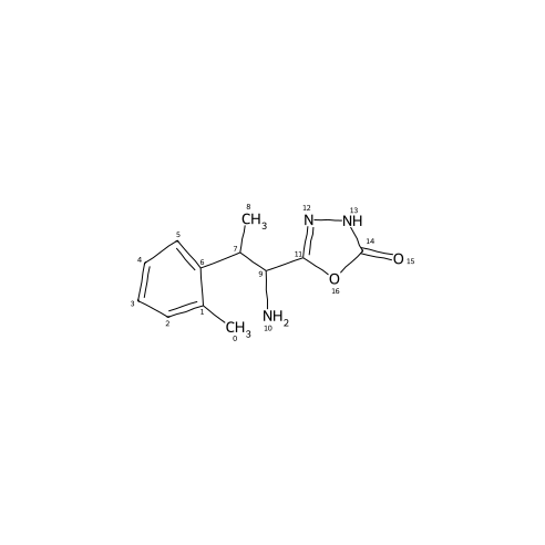 Cc1ccccc1C(C)C(N)c1n[nH]c(=O)o1